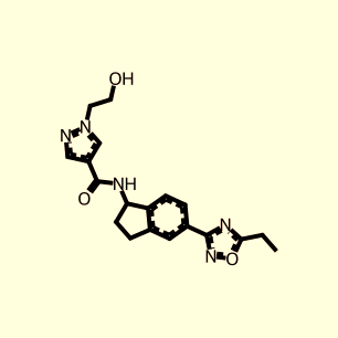 CCc1nc(-c2ccc3c(c2)CCC3NC(=O)c2cnn(CCO)c2)no1